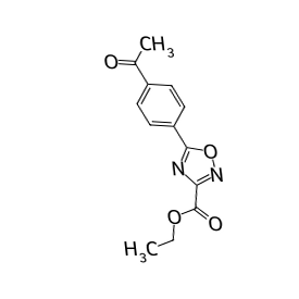 CCOC(=O)c1noc(-c2ccc(C(C)=O)cc2)n1